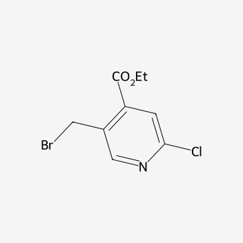 CCOC(=O)c1cc(Cl)ncc1CBr